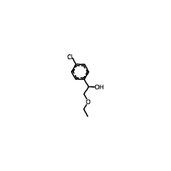 CCOCC(O)c1ccc(Cl)cc1